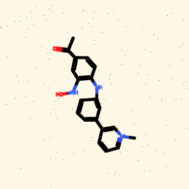 CC(=O)c1ccc(Nc2cccc(-c3ccc[n+](C)c3)c2)c(NO)c1